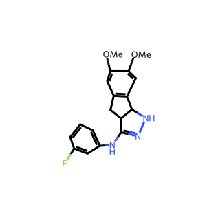 COc1cc2c(cc1OC)C1NN=C(Nc3cccc(F)c3)C1C2